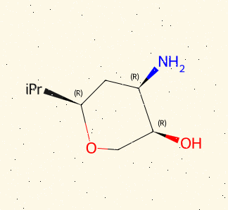 CC(C)[C@H]1C[C@@H](N)[C@@H](O)CO1